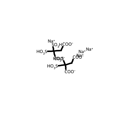 O=C([O-])CC(C(=O)[O-])(S(=O)(=O)O)S(=O)(=O)O.O=C([O-])CC(C(=O)[O-])(S(=O)(=O)O)S(=O)(=O)O.[Na+].[Na+].[Na+].[Na+]